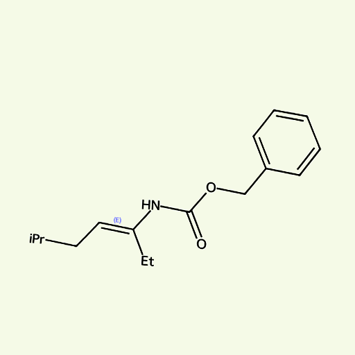 CC/C(=C\CC(C)C)NC(=O)OCc1ccccc1